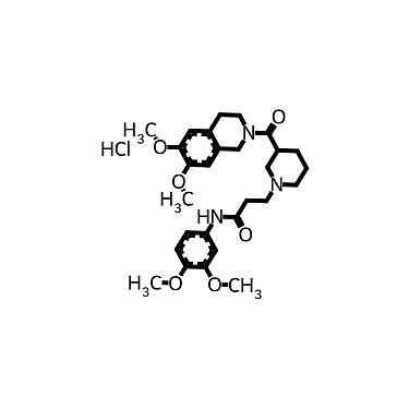 COc1ccc(NC(=O)CCN2CCCC(C(=O)N3CCc4cc(OC)c(OC)cc4C3)C2)cc1OC.Cl